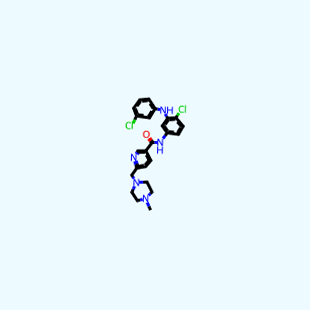 CN1CCN(Cc2ccc(C(=O)Nc3ccc(Cl)c(Nc4cccc(Cl)c4)c3)cn2)CC1